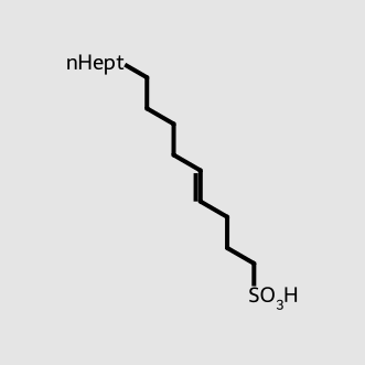 CCCCCCCCCCC/C=C/CCCS(=O)(=O)O